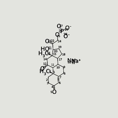 C[C@]12CCC(=O)C=C1CCC1C2C(=O)C[C@@]2(C)C1CC[C@]2(O)C(=O)COP(=O)([O-])[O-].[Na+].[Na+]